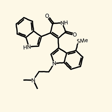 CSc1cccc2c1c(C1=C(c3c[nH]c4ccccc34)C(=O)NC1=O)cn2CCN(C)C